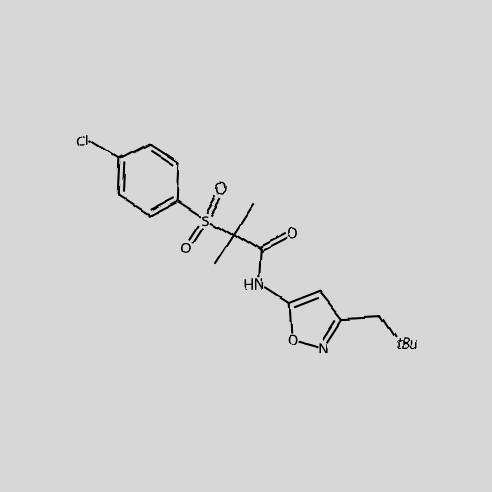 CC(C)(C)Cc1cc(NC(=O)C(C)(C)S(=O)(=O)c2ccc(Cl)cc2)on1